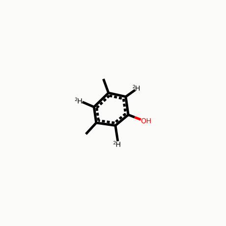 [2H]c1c(C)c([2H])c(O)c([2H])c1C